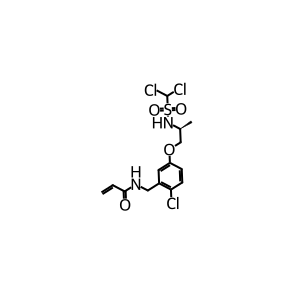 C=CC(=O)NCc1cc(OC[C@H](C)NS(=O)(=O)C(Cl)Cl)ccc1Cl